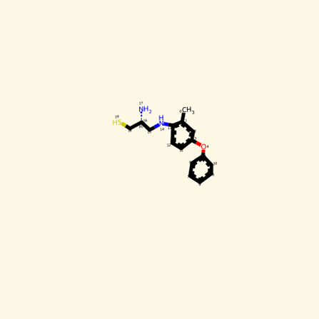 Cc1cc(Oc2ccccc2)ccc1NC[C@@H](N)CS